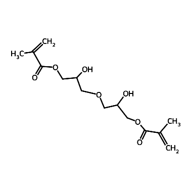 C=C(C)C(=O)OCC(O)COCC(O)COC(=O)C(=C)C